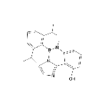 CC(C)c1cccc(C(C)C)c1B1N(C)c2cccc(O)c2-c2nccn21